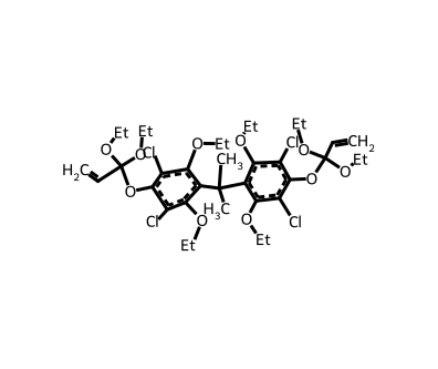 C=CC(OCC)(OCC)Oc1c(Cl)c(OCC)c(C(C)(C)c2c(OCC)c(Cl)c(OC(C=C)(OCC)OCC)c(Cl)c2OCC)c(OCC)c1Cl